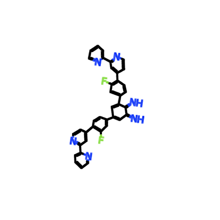 N=C1C=C(c2ccc(-c3ccnc(-c4ccccn4)c3)c(F)c2)C=C(c2ccc(-c3ccnc(-c4ccccn4)c3)c(F)c2)C1=N